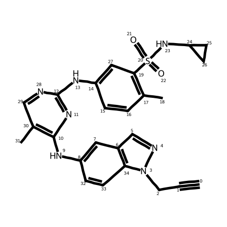 C#CCn1ncc2cc(Nc3nc(Nc4ccc(C)c(S(=O)(=O)NC5CC5)c4)ncc3C)ccc21